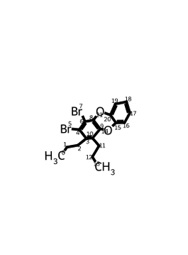 CCCc1c(Br)c(Br)c2c(c1CCC)Oc1ccccc1O2